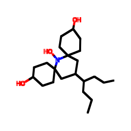 CCCC(CCC)C1CC2(CCC(O)CC2)N(O)C2(CCC(O)CC2)C1